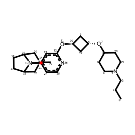 CCCN1CCC(O[C@H]2C[C@H](Oc3cc(N4C5CCC4CN(C)C5)ccn3)C2)CC1